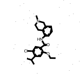 CCOc1cc(C(C)C)c(Cl)cc1C(=O)Nc1cccc2c1CCN(C)C2